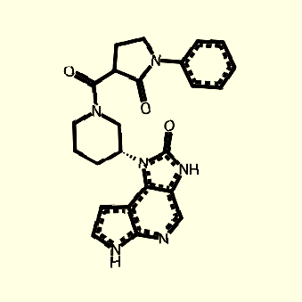 O=C(C1CCN(c2ccccc2)C1=O)N1CCC[C@@H](n2c(=O)[nH]c3cnc4[nH]ccc4c32)C1